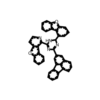 c1ccc2c(c1)-c1cccc3cc(C4=NC(c5cccc6oc7ccccc7c56)NC(c5nccc6oc7ccccc7c56)=N4)cc-2c13